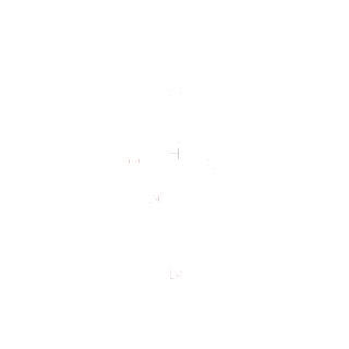 CC(Br)Br.CO[SiH](OC)OC